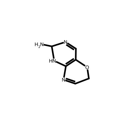 NC1N=CC2=C(N=CCO2)N1